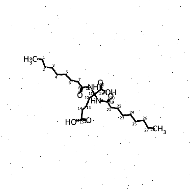 CCCCCCCCC(=O)NC(CCCC(=O)O)(NC(=O)CCCCCCCC)C(=O)O